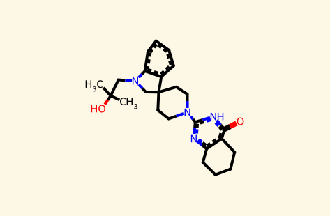 CC(C)(O)CN1CC2(CCN(c3nc4c(c(=O)[nH]3)CCCC4)CC2)c2ccccc21